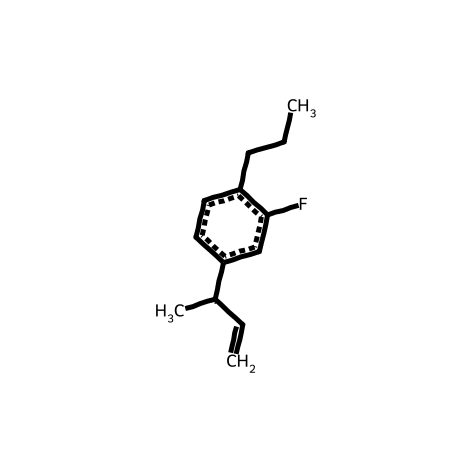 C=C[C](C)c1ccc(CCC)c(F)c1